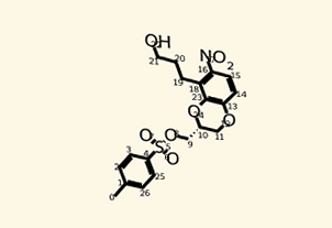 Cc1ccc(S(=O)(=O)OC[C@H]2COc3ccc([N+](=O)[O-])c(CCCO)c3O2)cc1